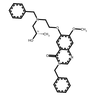 COc1cc2ncn(Cc3ccccc3)c(=O)c2cc1OCCN(Cc1ccccc1)C[C@H](C)O